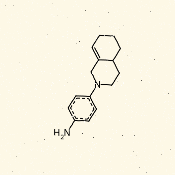 Nc1ccc(N2CCC3CCCC=C3C2)cc1